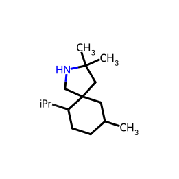 CC1CCC(C(C)C)C2(CNC(C)(C)C2)C1